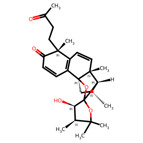 CC(=O)CC[C@@]1(C)C(=O)C=CC2=C1C=C[C@]1(C)[C@@H]3CC[C@]21OC1(OC(C)(C)[C@@H](C)[C@H]1O)[C@H]3C